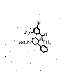 CN(C(=O)c1cc(Br)cc(C(F)(F)F)c1)C1CCN(C(=O)O)CC1c1ccccc1